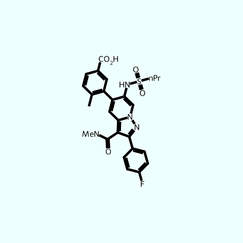 CCCS(=O)(=O)Nc1cn2nc(-c3ccc(F)cc3)c(C(=O)NC)c2cc1-c1cc(C(=O)O)ccc1C